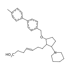 Cc1ccc(-c2ccc(COC3CCC(N4CCCCC4)C3CCC=CCCC(=O)O)cc2)cc1